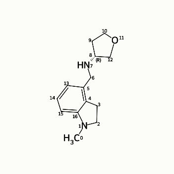 CN1CCc2c(CN[C@@H]3CCOC3)cccc21